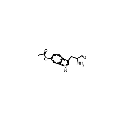 CC(=O)Oc1ccc2c(C[C@H](N)C=O)c[nH]c2c1